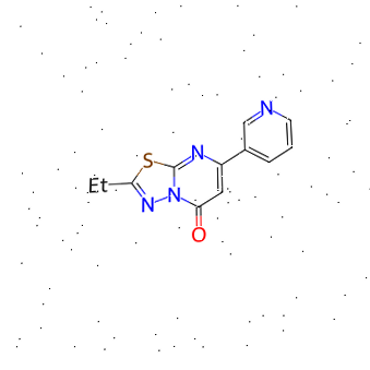 CCc1nn2c(=O)cc(-c3cccnc3)nc2s1